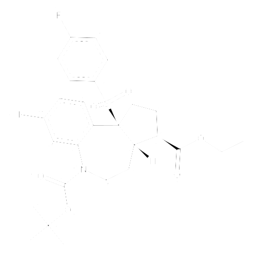 CCOC(=O)[C@@H]1CC[C@@]2(S(=O)(=O)c3ccc(F)cc3)c3ccc(I)cc3N(C(=O)OC(C)(C)C)CC[C@@H]12